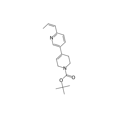 C/C=C\c1ccc(C2=CCN(C(=O)OC(C)(C)C)CC2)cn1